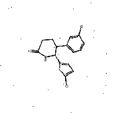 O=C1CCC(c2cccc(Cl)c2)[C@@H](c2ccc(Cl)s2)N1